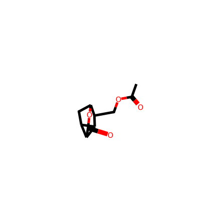 CC(=O)OCC1C2CC3C(C(=O)O2)C13